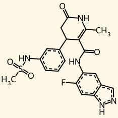 CC1=C(C(=O)Nc2cc3cn[nH]c3cc2F)C(c2cccc(NS(C)(=O)=O)c2)CC(=O)N1